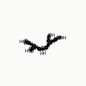 O=C(Nc1ccc(N=Nc2ccc(N=Nc3ccc(SOOO)cc3)c3cc(SOOO)ccc23)cc1)Nc1ccc(N=Nc2ccc(N=Nc3ccc(S(=O)(=O)O)cc3)c3cc(S(=O)(=O)O)ccc23)cc1